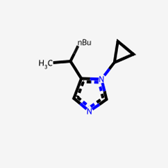 CCCCC(C)c1cncn1C1CC1